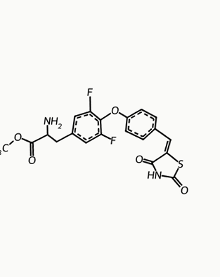 COC(=O)C(N)Cc1cc(F)c(Oc2ccc(C=C3SC(=O)NC3=O)cc2)c(F)c1